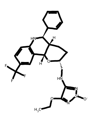 CCOc1n[s+]([O-])nc1NC[C@H]1CC[C@@H]2[C@H](O1)c1cc(C(F)(F)F)ccc1N[C@H]2C1C=CC=CC1